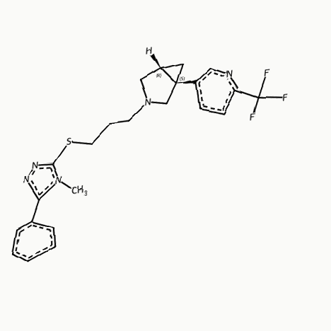 Cn1c(SCCCN2C[C@@H]3C[C@]3(c3ccc(C(F)(F)F)nc3)C2)nnc1-c1ccccc1